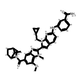 COc1cc(C(=O)N2CC3CCC2[C@@H]3C)cc2nc(-c3cc4ccc(Nc5cccc(C(N)=O)c5)nc4n3CC3CC3)n(C)c12